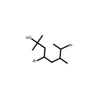 CC(C)C([CH]C(C)C(C)C(C)C)CC(C)(C)O